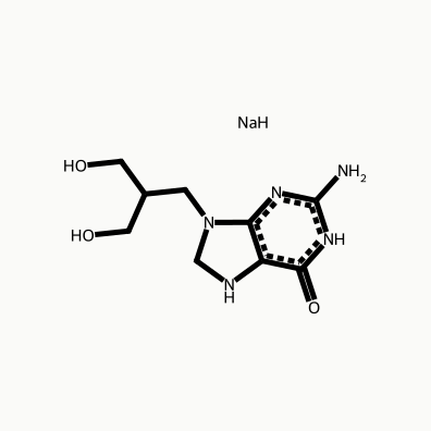 Nc1nc2c(c(=O)[nH]1)NCN2CC(CO)CO.[NaH]